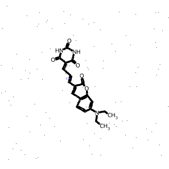 CCN(CC)c1ccc2cc(/C=C/C=C3C(=O)NC(=O)NC3=O)c(=O)oc2c1